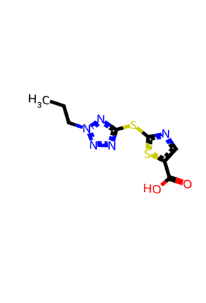 CCCn1nnc(Sc2ncc(C(=O)O)s2)n1